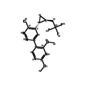 COc1ncc(-c2cc([C@@H]3C[C@H]3CC(F)(F)F)c(Cl)nn2)c(OC)n1